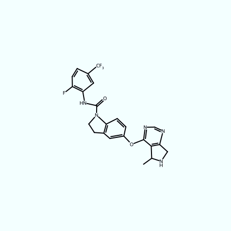 CC1NCc2ncnc(Oc3ccc4c(c3)CCN4C(=O)Nc3cc(C(F)(F)F)ccc3F)c21